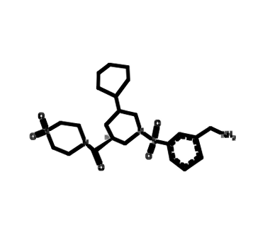 NCc1cccc(S(=O)(=O)N2CC(C3CCCCC3)C[C@H](C(=O)N3CCS(=O)(=O)CC3)C2)c1